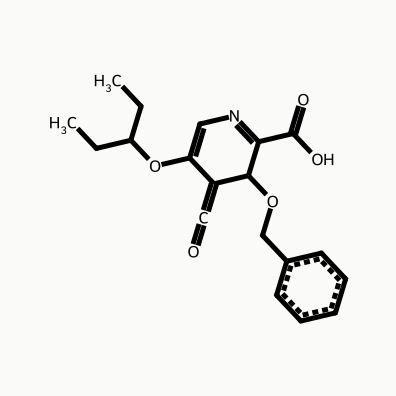 CCC(CC)OC1=CN=C(C(=O)O)C(OCc2ccccc2)C1=C=O